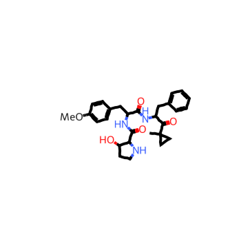 COc1ccc(CC(NC(=O)C2NCCC2O)C(=O)NC(Cc2ccccc2)C(=O)C2(C)CC2)cc1